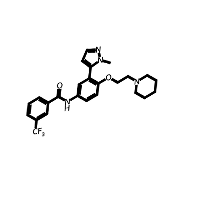 Cn1nccc1-c1cc(NC(=O)c2cccc(C(F)(F)F)c2)ccc1OCCN1CCCCC1